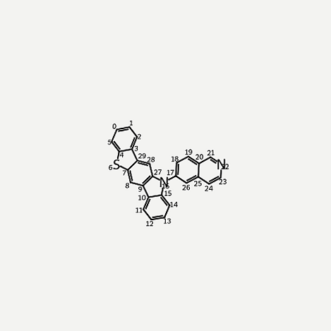 c1ccc2c(c1)sc1cc3c4ccccc4n(-c4ccc5cnccc5c4)c3cc12